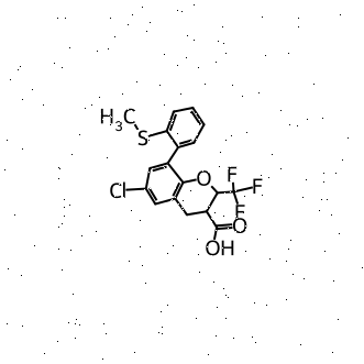 CSc1ccccc1-c1cc(Cl)cc2c1OC(C(F)(F)F)C(C(=O)O)C2